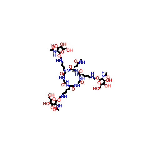 CNC(=O)CC[C@H]1NC(=O)[C@@H](CCCCNCO[C@@H]2O[C@H](CO)[C@H](O)[C@H](O)[C@H]2NC(C)=O)NC(=O)CNC(=O)[C@@H](CCCCNCO[C@@H]2O[C@H](CO)[C@H](O)[C@H](O)[C@H]2NC(C)=O)NC(=O)CNC(=O)[C@@H](CCCCNCO[C@@H]2O[C@H](CO)[C@H](O)[C@H](O)[C@H]2NC(C)=O)NC1=O